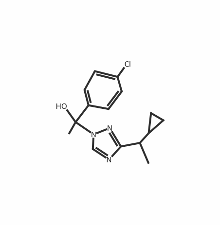 CC(c1ncn(C(C)(O)c2ccc(Cl)cc2)n1)C1CC1